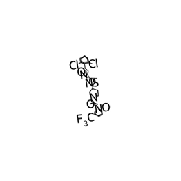 O=C(Cn1cc(C(F)(F)F)ccc1=O)N1CCC(c2nc(C3=NOC(c4c(Cl)cccc4Cl)C3)cs2)CC1